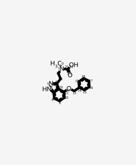 CN(CCc1n[nH]c2cccc(OCc3ccccc3)c12)C(=O)O